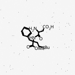 COC(=O)C(CCC(C)(C)C)(Cc1ccccc1)NC(=O)C(N)CC(=O)O